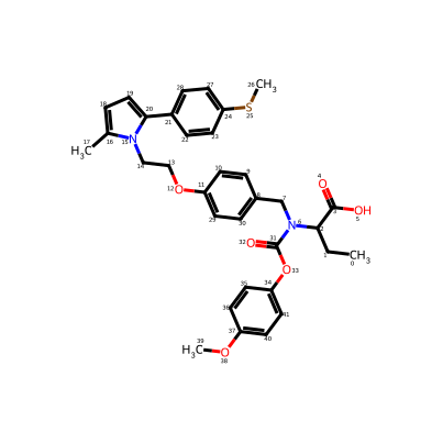 CCC(C(=O)O)N(Cc1ccc(OCCn2c(C)ccc2-c2ccc(SC)cc2)cc1)C(=O)Oc1ccc(OC)cc1